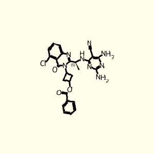 C[C@H](Nc1nc(N)nc(N)c1C#N)c1nc2cccc(Cl)c2c(=O)n1C1CC(OC(=O)c2ccccc2)C1